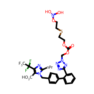 CCCc1nc(C(F)(F)C(F)(F)F)c(C(=O)O)n1Cc1ccc(-c2ccccc2-c2nnn(COC(=O)OCCSCCON(O)O)n2)cc1